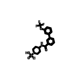 O=C(NC1CCN(P(=O)(O)Cl)CC1)c1cccc(-c2cccc(OC(F)(F)F)c2)c1